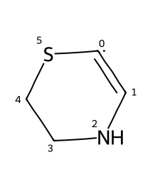 [C]1=CNCCS1